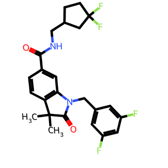 CC1(C)C(=O)N(Cc2cc(F)cc(F)c2)c2cc(C(=O)NCC3CCC(F)(F)C3)ccc21